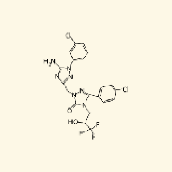 Nc1nc(Cn2nc(-c3ccc(Cl)cc3)n(C[C@H](O)C(F)(F)F)c2=O)nn1-c1cccc(Cl)c1